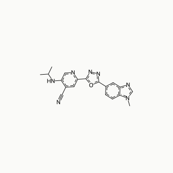 CC(C)Nc1cnc(-c2nnc(-c3ccc4c(c3)ncn4C)o2)cc1C#N